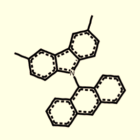 Cc1ccc2c(c1)c1cc(C)ccc1n2-c1c2ccccc2cc2ccccc12